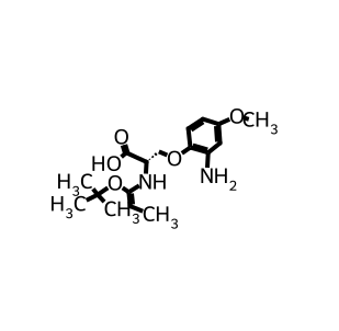 C/C=C(\N[C@@H](COc1ccc(OC)cc1N)C(=O)O)OC(C)(C)C